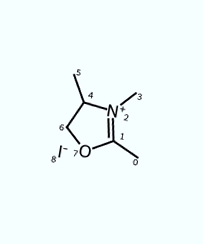 CC1=[N+](C)C(C)CO1.[I-]